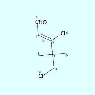 CC(C)(CCl)/C(Cl)=C/C=O